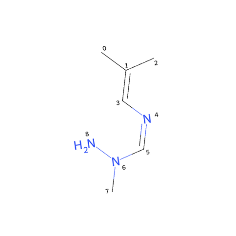 CC(C)=C/N=C\N(C)N